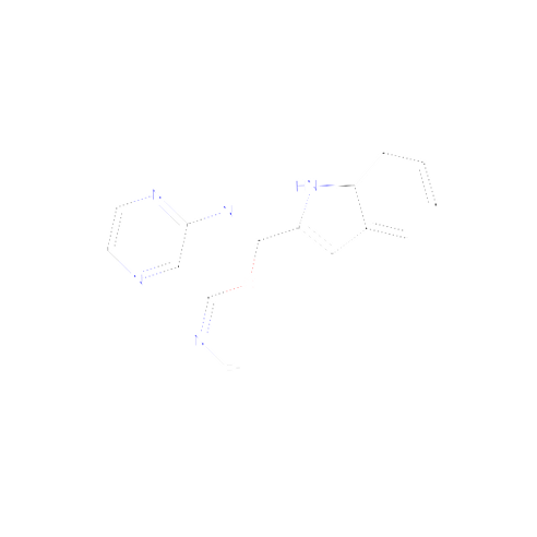 CC/N=c1\oc(-c2cc3ccccc3[nH]2)nc2nccnc12